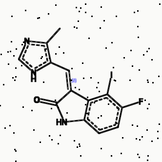 Cc1nc[nH]c1/C=C1\C(=O)Nc2ccc(F)c(I)c21